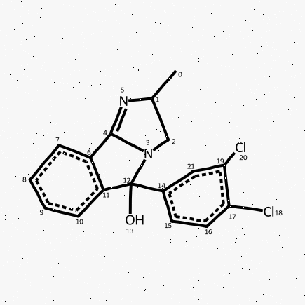 CC1CN2C(=N1)c1ccccc1C2(O)c1ccc(Cl)c(Cl)c1